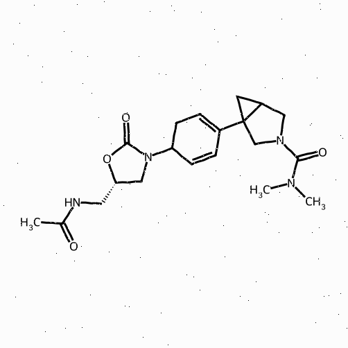 CC(=O)NC[C@H]1CN(C2C=CC(C34CC3CN(C(=O)N(C)C)C4)=CC2)C(=O)O1